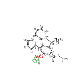 CCC[Si]1(C)c2c(O)c(C3=CC=CC3)c3c(c21)[CH]([Zr+2])c1ccccc1-3.[Cl-].[Cl-]